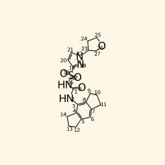 O=C(Nc1c2c(cc3c1CCC3)CCC2)NS(=O)(=O)c1ccn(C2CCOC2)n1